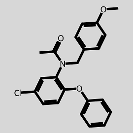 COc1ccc(CN(C(C)=O)c2cc(Cl)ccc2Oc2ccccc2)cc1